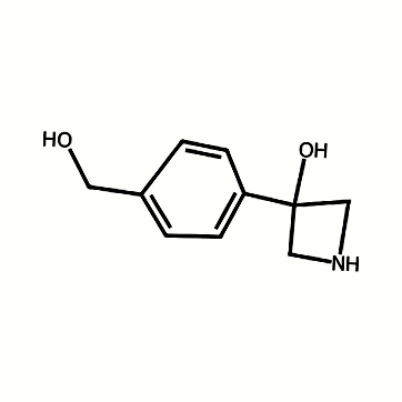 OCc1ccc(C2(O)CNC2)cc1